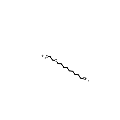 [CH2]CCOCCCCCCCCCC